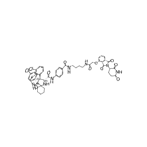 O=C(COc1cccc2c1C(=O)N(C1CCC(=O)NC1=O)C2=O)NCCCCNC(=O)c1ccc(NC(=O)[C@@H]2NC3(CCCCC3)[C@@]3(C(=O)Nc4cc(Cl)ccc43)[C@H]2c2cccc(Cl)c2F)cc1